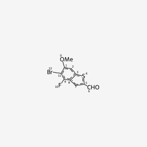 COc1cc2sc(C=O)cc2c(F)c1Br